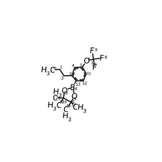 CCCc1cc(OC(F)(F)F)ccc1B1OC(C)(C)C(C)(C)O1